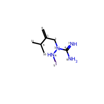 C=C(CN(NI)C(=N)N)C(C)C